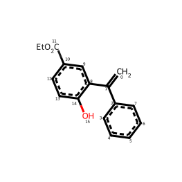 C=C(c1ccccc1)c1cc(C(=O)OCC)ccc1O